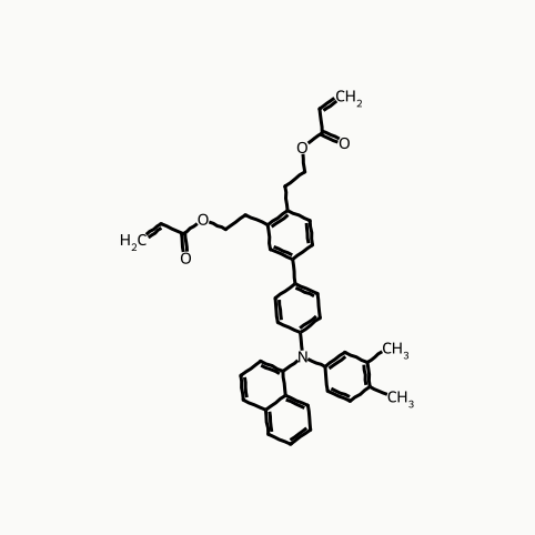 C=CC(=O)OCCc1ccc(-c2ccc(N(c3ccc(C)c(C)c3)c3cccc4ccccc34)cc2)cc1CCOC(=O)C=C